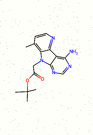 Cc1ccnc2c3c(N)ncnc3n(CC(=O)OC(C)(C)C)c12